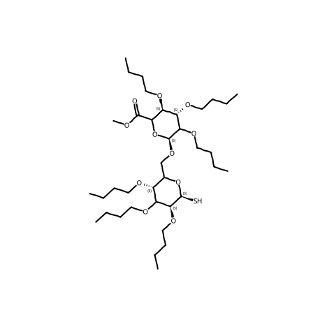 CCCCOC1[C@@H](OCC2O[C@@H](S)[C@@H](OCCCC)C(OCCCC)[C@@H]2OCCCC)OC(C(=O)OC)[C@@H](OCCCC)[C@@H]1OCCCC